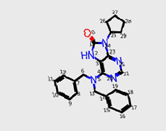 O=c1[nH]c2c(N(Cc3ccccc3)Cc3ccccc3)ncnc2n1C1CCCC1